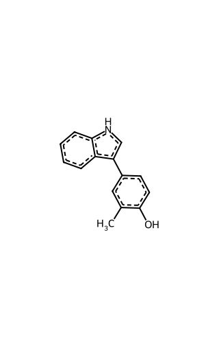 Cc1cc(-c2c[nH]c3ccccc23)ccc1O